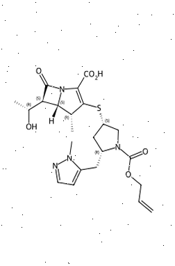 C=CCOC(=O)N1C[C@@H](SC2=C(C(=O)O)N3C(=O)[C@H]([C@@H](C)O)[C@H]3[C@H]2C)C[C@H]1Cc1ccnn1C